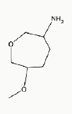 COC1CCC(N)COC1